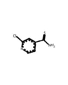 NC(=S)c1ccnc(Cl)c1